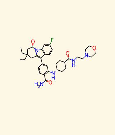 CCC1(CC)CC(=O)n2c(c(-c3ccc(C(N)=O)c(N[C@H]4CC[C@H](C(=O)NCCN5CCOCC5)CC4)c3)c3ccc(F)cc32)C1